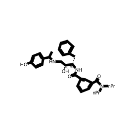 CCCN(CCC)C(=O)c1cccc(C(=O)N[C@@H](Cc2ccccc2)[C@H](O)CNC(C)c2ccc(O)cc2)c1